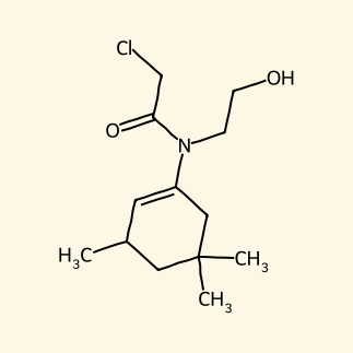 CC1C=C(N(CCO)C(=O)CCl)CC(C)(C)C1